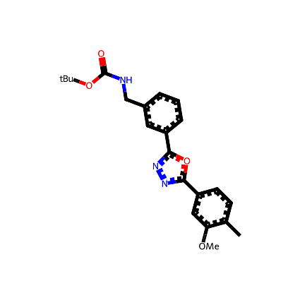 COc1cc(-c2nnc(-c3cccc(CNC(=O)OC(C)(C)C)c3)o2)ccc1C